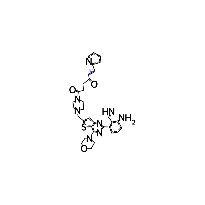 N=Cc1c(N)cccc1-c1nc(N2CCOCC2)c2sc(CN3CCN(C(=O)CCC(=O)/C=C/c4ccccn4)CC3)cc2n1